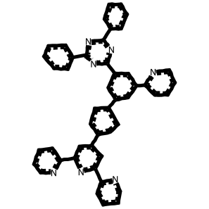 c1ccc(-c2nc(-c3ccccc3)nc(-c3cc(-c4ccc(-c5cc(-c6ccccn6)nc(-c6ccccn6)c5)cc4)cc(-c4ccccn4)c3)n2)cc1